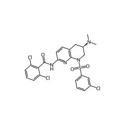 CN(C)[C@@H]1Cc2ccc(NC(=O)c3c(Cl)cccc3Cl)nc2N(S(=O)(=O)c2cccc(Cl)c2)C1